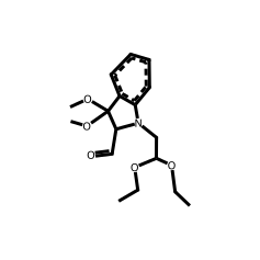 CCOC(CN1c2ccccc2C(OC)(OC)C1C=O)OCC